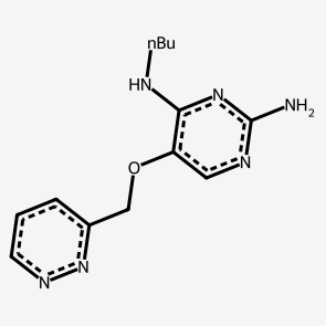 CCCCNc1nc(N)ncc1OCc1cccnn1